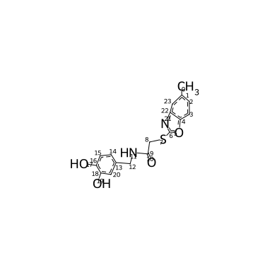 Cc1ccc2oc(SCC(=O)NCc3ccc(O)c(O)c3)nc2c1